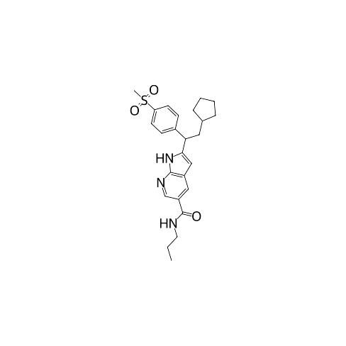 CCCNC(=O)c1cnc2[nH]c(C(CC3CCCC3)c3ccc(S(C)(=O)=O)cc3)cc2c1